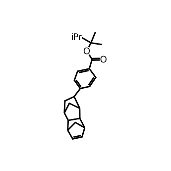 CC(C)C(C)(C)OC(=O)c1ccc(C2CC3CC2C2C4C=CC(C4)C32)cc1